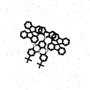 CC(C)(C)c1ccc2c(c1)B1c3cc(C(C)(C)C)ccc3Oc3cc(-n4c5c(-c6cccc7c6C6(c8ccccc8-c8ccccc86)c6ccccc6-7)cccc5c5cccc(-c6cccc7c6C6(c8ccccc8-c8ccccc86)c6ccccc6-7)c54)cc(c31)O2